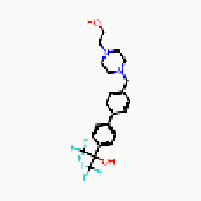 OCCN1CCN(CC2=CCC(c3ccc(C(O)(C(F)(F)F)C(F)(F)F)cc3)C=C2)CC1